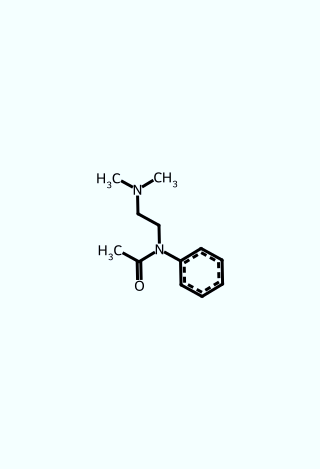 CC(=O)N(CCN(C)C)c1ccccc1